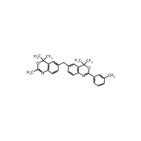 CC1=Nc2ccc(Cc3ccc4c(c3)C(C)(C(F)(F)F)OC(c3cccc(C)c3)=N4)cc2C(C)(C(F)(F)F)O1